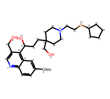 COc1ccc2ncc(CO)c(C(O)CCC3(CO)CCN(CCSC4CCCC4)CC3)c2c1